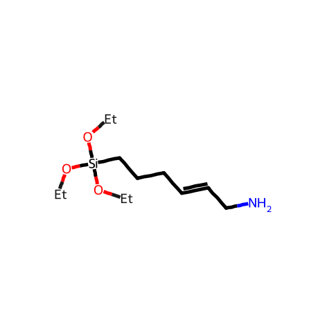 CCO[Si](CCCC=CCN)(OCC)OCC